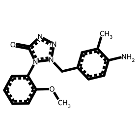 COc1ccccc1-n1c(=O)nnn1Cc1ccc(N)c(C)c1